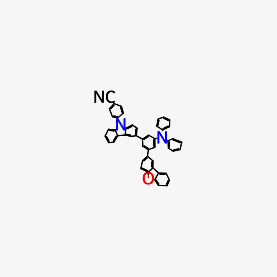 N#Cc1ccc(-n2c3ccccc3c3cc(-c4cc(-c5ccc6oc7ccccc7c6c5)cc(N(c5ccccc5)c5ccccc5)c4)ccc32)cc1